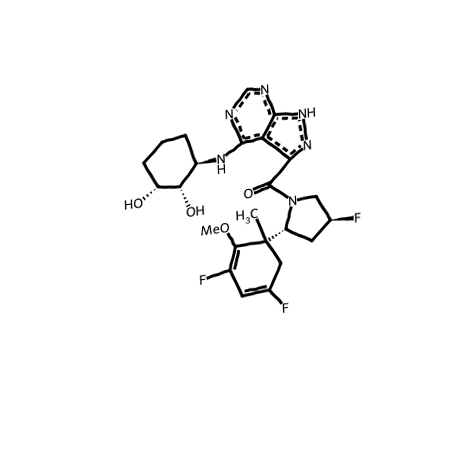 COC1=C(F)C=C(F)CC1(C)[C@H]1C[C@H](F)CN1C(=O)c1n[nH]c2ncnc(N[C@@H]3CCC[C@@H](O)[C@H]3O)c12